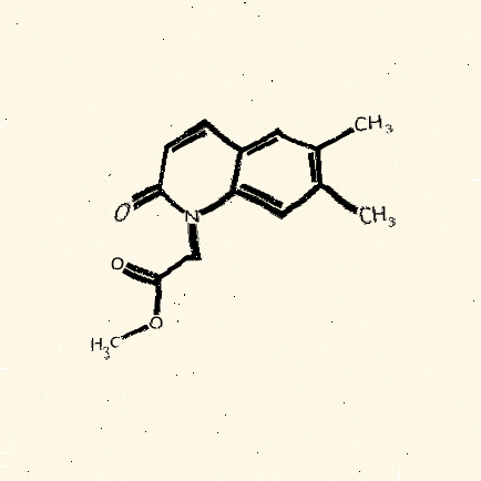 COC(=O)Cn1c(=O)ccc2cc(C)c(C)cc21